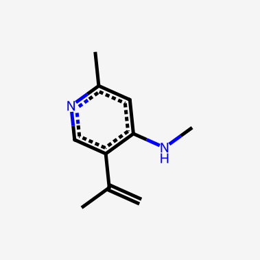 C=C(C)c1cnc(C)cc1NC